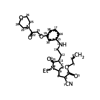 C=CCOC(=O)C(C#N)CC1SC(CCNc2cccc(OCC(=O)N3CCOCC3)c2)C(=O)N1CC